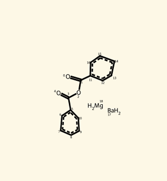 O=C(OC(=O)c1ccccc1)c1ccccc1.[BaH2].[MgH2]